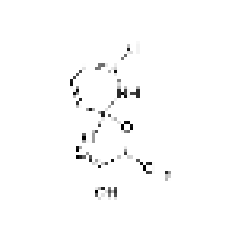 CC(OC1(Cl)C=CC=C(Cl)N1)C(O)=S